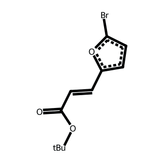 CC(C)(C)OC(=O)C=Cc1ccc(Br)o1